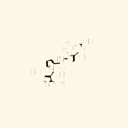 Cc1noc(C)c1Cn1cccc1C(O)Nc1nc(C(C)(C)OC(C)C)cs1